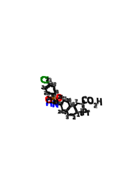 CC(C)c1ccc2c(c1CCC(=O)O)CCC(NS(=O)(=O)c1ccc(Cl)cc1)C2